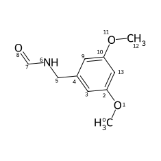 COc1cc(CNC=O)cc(OC)c1